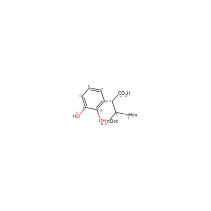 CCCCCCCCC(CCCCCC)CC(=O)O.Oc1ccccc1O